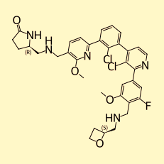 COc1cc(-c2nccc(-c3cccc(-c4ccc(CNC[C@H]5CCC(=O)N5)c(OC)n4)c3Cl)c2Cl)cc(F)c1CNC[C@@H]1CCO1